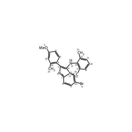 COc1ccc(-c2nc3ccc(Br)cn3c2Nc2c(C)cccc2C)c(C)c1